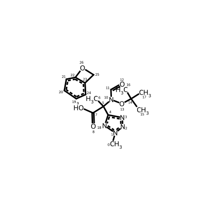 Cn1nnc(C(C)(C(=O)O)N(C=O)OC(C)(C)C)n1.c1ccc2c(c1)CO2